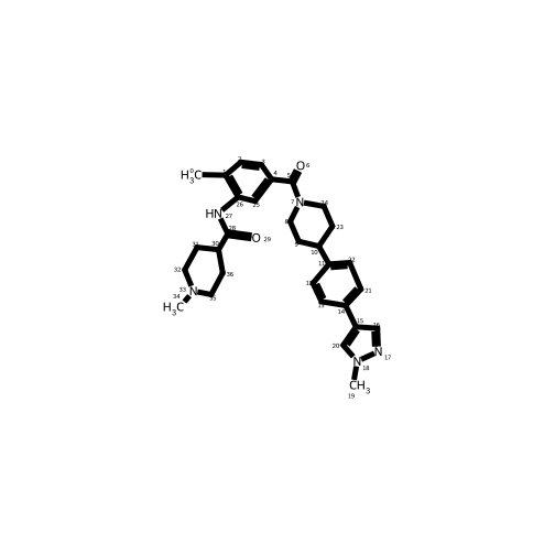 Cc1ccc(C(=O)N2CCC(c3ccc(-c4cnn(C)c4)cc3)CC2)cc1NC(=O)C1CCN(C)CC1